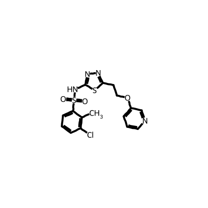 Cc1c(Cl)cccc1S(=O)(=O)Nc1nnc(CCOc2cccnc2)s1